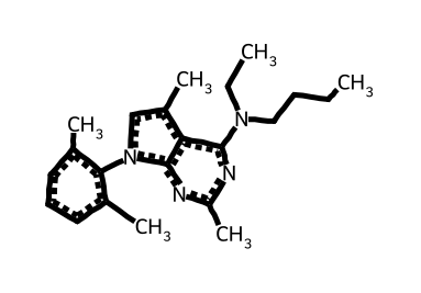 CCCCN(CC)c1nc(C)nc2c1c(C)cn2-c1c(C)cccc1C